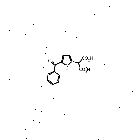 O=C(c1ccccc1)c1ccc(C(C(=O)O)C(=O)O)[nH]1